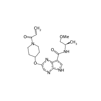 C=CC(=O)N1CCC(Oc2cnc3[nH]cc(C(=O)N[C@H](C)COC)c3n2)CC1